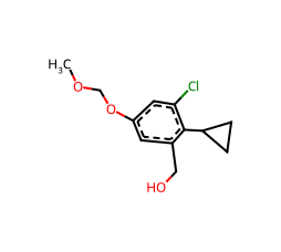 COCOc1cc(Cl)c(C2CC2)c(CO)c1